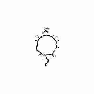 C=C/C=C\[C@H](C)[C@@H]1OC(=O)/C=C\C=C\[C@@H](C)[C@@H](O)C[C@H](OC(=O)OC)/C=C\[C@H](C)[C@H](O)[C@@H](C)C[C@@H](C)CC[C@@H](O)[C@@H]1C